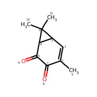 CC1=CC2C(C(=O)C1=O)C2(C)C